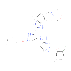 C[Si](C)(C)CCOCn1cc(Nc2ccnc(Oc3ccccc3Cl)n2)c(-c2nc3cc(CN4CCOCC4)ccc3[nH]2)n1